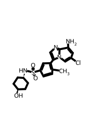 Cc1ccc(S(=O)(=O)N[C@H]2CC[C@H](O)CC2)cc1-c1cnc2c(N)cc(Cl)cn12